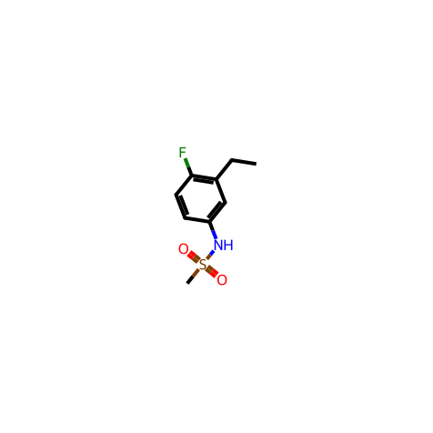 CCc1cc(NS(C)(=O)=O)ccc1F